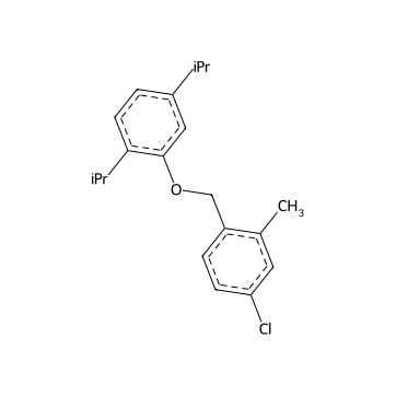 Cc1cc(Cl)ccc1COc1cc(C(C)C)ccc1C(C)C